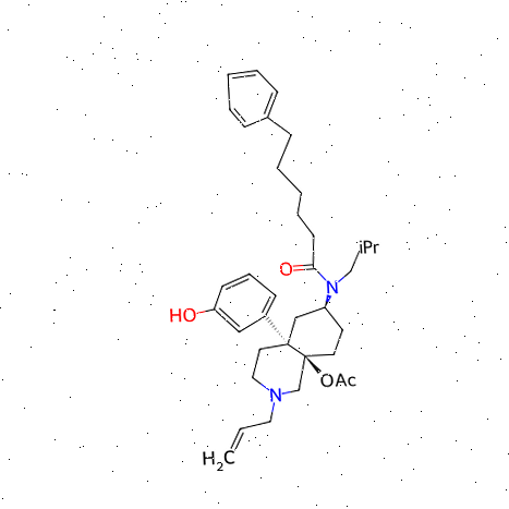 C=CCN1CC[C@@]2(c3cccc(O)c3)C[C@@H](N(CC(C)C)C(=O)CCCCCc3ccccc3)CC[C@]2(OC(C)=O)C1